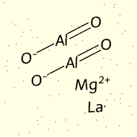 [La].[Mg+2].[O]=[Al][O-].[O]=[Al][O-]